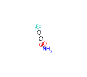 NC1COC(c2ccc(-c3ccc(C(F)(F)F)cc3)cc2)OC1